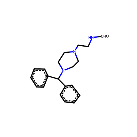 O=CNCCN1CCN(C(c2ccccc2)c2ccccc2)CC1